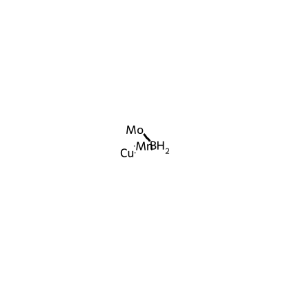 [BH2][Mo].[Cu].[Mn]